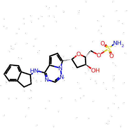 NS(=O)(=O)OC[C@H]1O[C@@H](c2ccc3c(N[C@H]4CCc5ccccc54)ncnn23)C[C@@H]1O